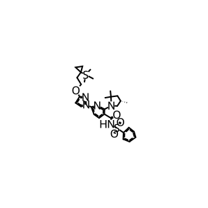 C[C@@H]1CN(c2nc(-n3ccc(OCCC4(S(C)(C)C)CC4)n3)ccc2C(=O)NS(=O)(=O)c2ccccc2)C(C)(C)C1